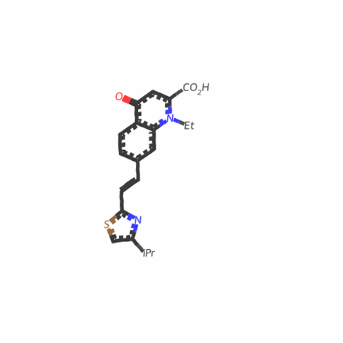 CCn1c(C(=O)O)cc(=O)c2ccc(C=Cc3nc(C(C)C)cs3)cc21